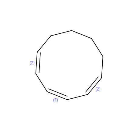 C1=C\C=C/CCCC\C=C/1